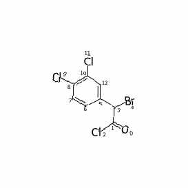 O=C(Cl)C(Br)c1ccc(Cl)c(Cl)c1